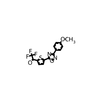 COc1ccc(-c2noc(-c3ccc(C(=O)C(F)(F)F)s3)n2)cc1